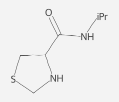 CC(C)NC(=O)C1CSCN1